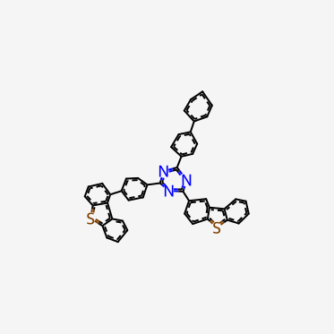 c1ccc(-c2ccc(-c3nc(-c4ccc(-c5cccc6sc7ccccc7c56)cc4)nc(-c4ccc5sc6ccccc6c5c4)n3)cc2)cc1